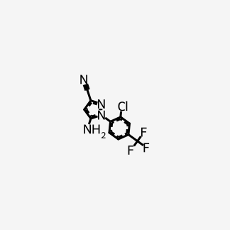 N#Cc1cc(N)n(-c2ccc(C(F)(F)F)cc2Cl)n1